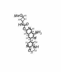 COC1(C)CC(NC(=O)Oc2cc3cc(-c4cnc5c(c4C)NCCO5)c(F)c(N)c3cn2)C1